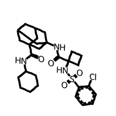 O=C(NC1CCCCC1)C12CC3CC(CC(NC(=O)C4(NS(=O)(=O)c5ccccc5Cl)CCC4)(C3)C1)C2